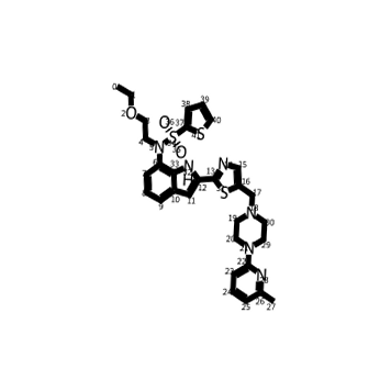 CCOCCN(c1cccc2cc(-c3ncc(CN4CCN(c5cccc(C)n5)CC4)s3)[nH]c12)S(=O)(=O)c1cccs1